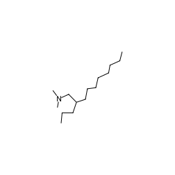 CCCCCCCCC(CCC)CN(C)C